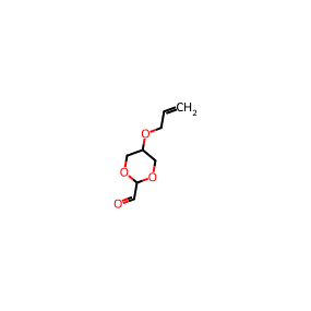 C=CCOC1COC(C=O)OC1